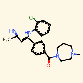 CN1CCCN(C(=O)c2ccc(/C(=C/C(=N)C(F)(F)F)Nc3ccccc3Cl)cc2)CC1